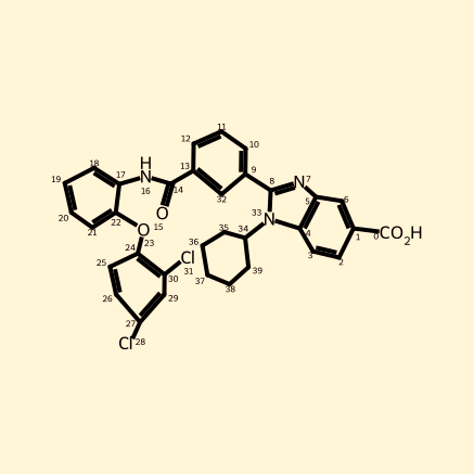 O=C(O)c1ccc2c(c1)nc(-c1cccc(C(=O)Nc3ccccc3Oc3ccc(Cl)cc3Cl)c1)n2C1CCCCC1